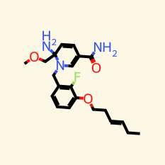 CCC=CCCOc1cccc(CN2C=C(C(N)=O)C=CC2(N)COC)c1F